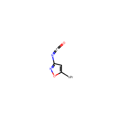 CCCc1cc(N=C=O)no1